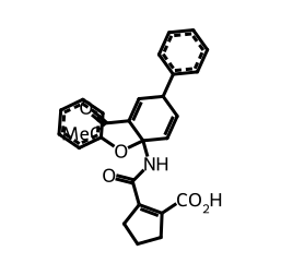 COC(=O)C1=CC(c2ccccc2)C=CC1(NC(=O)C1=C(C(=O)O)CCC1)Oc1ccccc1